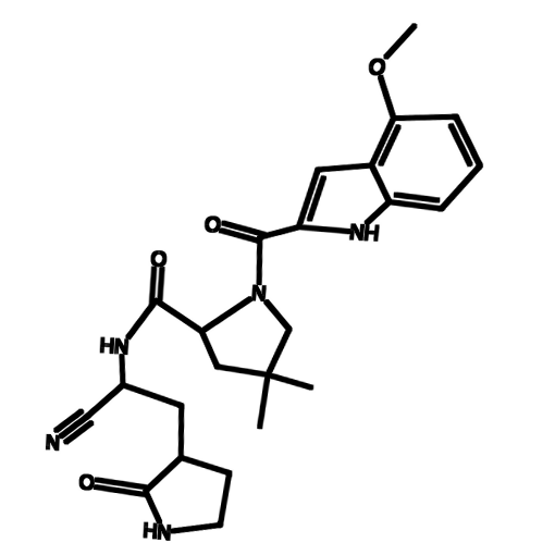 COc1cccc2[nH]c(C(=O)N3CC(C)(C)CC3C(=O)NC(C#N)CC3CCNC3=O)cc12